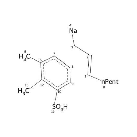 CCCCCC=C[CH2][Na].Cc1cccc(S(=O)(=O)O)c1C